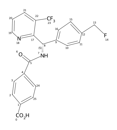 O=C(O)c1ccc(C(=O)N[C@@H](c2ccc(CF)cc2)c2ncccc2C(F)(F)F)cc1